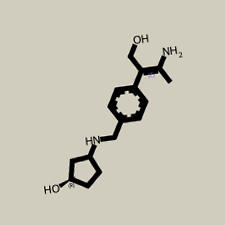 C/C(N)=C(/CO)c1ccc(CNC2CC[C@@H](O)C2)cc1